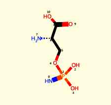 N=P(O)(O)OC[C@H](N)C(=O)O